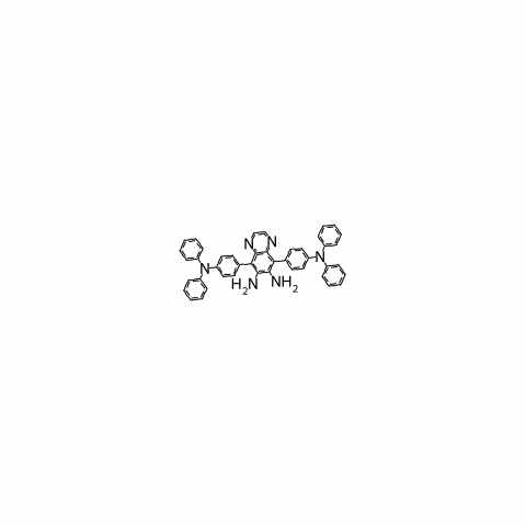 Nc1c(N)c(-c2ccc(N(c3ccccc3)c3ccccc3)cc2)c2nccnc2c1-c1ccc(N(c2ccccc2)c2ccccc2)cc1